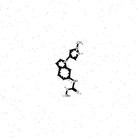 Cn1cc(-n2ccc3ccc(NC(=O)OC(C)(C)C)cc32)cn1